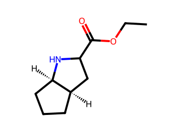 CCOC(=O)C1C[C@H]2CCC[C@H]2N1